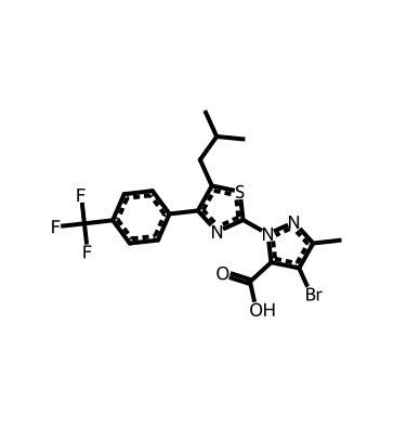 Cc1nn(-c2nc(-c3ccc(C(F)(F)F)cc3)c(CC(C)C)s2)c(C(=O)O)c1Br